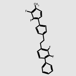 Cc1ccc(-c2ccc(CCc3ccc(-c4ccccc4)c(F)c3F)cc2)c(F)c1F